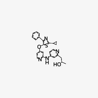 CC(O)Cc1cc(Nc2cc(Oc3sc(C4CC4)nc3-c3ccccc3)ccn2)ccn1